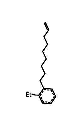 C=CCCCCCCCc1ccccc1CC